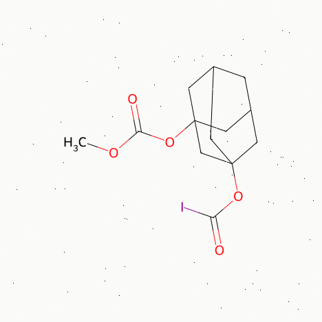 COC(=O)OC12CC3CC(CC(OC(=O)I)(C3)C1)C2